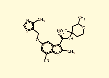 Cc1ncsc1COc1cc(C#N)c2oc(C)c(C(=O)NC3(C(=O)O)CCOC(C)C3)c2c1